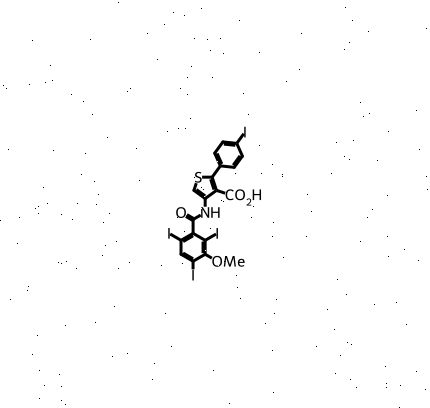 COc1c(I)cc(I)c(C(=O)Nc2csc(-c3ccc(I)cc3)c2C(=O)O)c1I